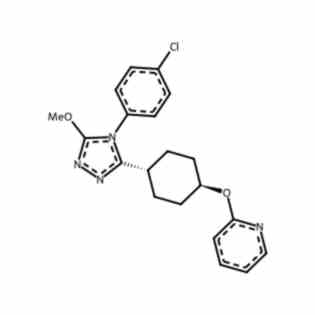 COc1nnc([C@H]2CC[C@H](Oc3ccccn3)CC2)n1-c1ccc(Cl)cc1